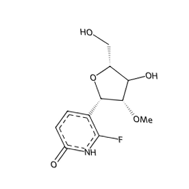 CO[C@H]1C(O)[C@@H](CO)O[C@H]1c1ccc(=O)[nH]c1F